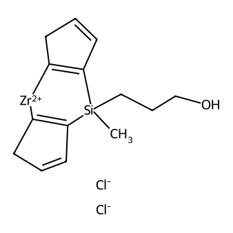 C[Si]1(CCCO)C2=[C](CC=C2)[Zr+2][C]2=C1C=CC2.[Cl-].[Cl-]